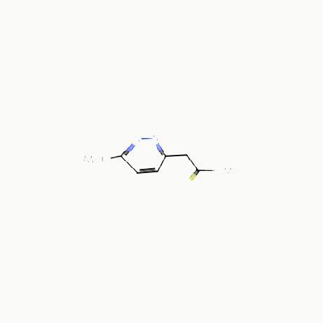 COC(=S)Cc1ccc(OC)nn1